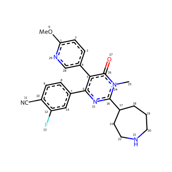 COc1ccc(-c2c(-c3ccc(C#N)c(F)c3)nc(C3CCCNCC3)n(C)c2=O)cn1